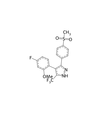 COc1cc(F)ccc1-c1c(-c2ccc(S(C)(=O)=O)cc2)n[nH]c1C(F)(F)F